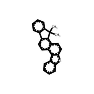 CC1(C)c2ccccc2-c2ccc3c(ccc4sc5ccccc5c43)c21